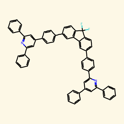 FC1(F)c2ccc(-c3ccc(-c4cc(-c5ccccc5)nc(-c5ccccc5)c4)cc3)cc2-c2cc(-c3ccc(-c4cc(-c5ccccc5)cc(-c5ccccc5)n4)cc3)ccc21